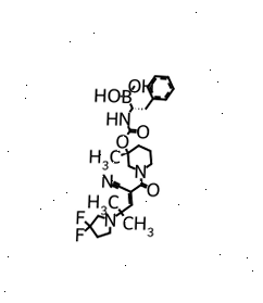 CC(C)(C=C(C#N)C(=O)N1CCC[C@@](C)(OC(=O)N[C@@H](Cc2ccccc2)B(O)O)C1)N1CCC(F)(F)C1